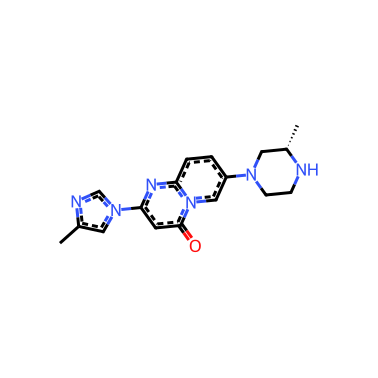 Cc1cn(-c2cc(=O)n3cc(N4CCN[C@@H](C)C4)ccc3n2)cn1